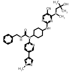 CN(CC(C)(C)O)c1nc(NC2CCC(N(C(=O)NCc3ccccc3)c3ccc(-c4cnn(C)c4)cn3)CC2)ncc1C#N